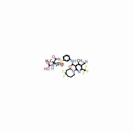 Cc1c(C#N)c(C(F)(F)F)nc(N2CCCC(F)(F)CC2)c1C(=O)Nc1cccc(S(C)(=O)=NC(=O)C(C)(C)NC(=O)O)c1